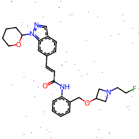 O=C(/C=C/c1ccc2cnn(C3CCCCO3)c2c1)Nc1ccccc1COC1CN(CCF)C1